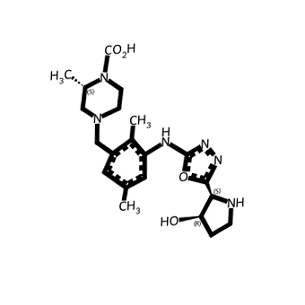 Cc1cc(CN2CCN(C(=O)O)[C@@H](C)C2)c(C)c(Nc2nnc([C@H]3NCC[C@H]3O)o2)c1